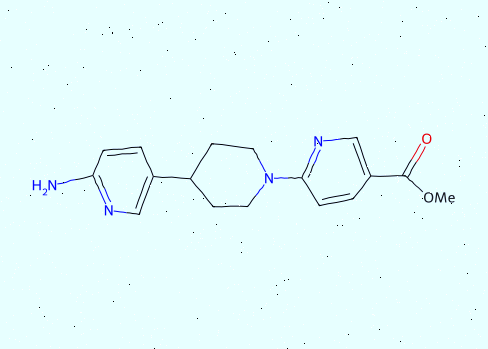 COC(=O)c1ccc(N2CCC(c3ccc(N)nc3)CC2)nc1